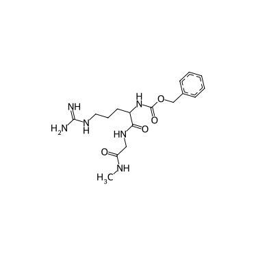 CNC(=O)CNC(=O)C(CCCNC(=N)N)NC(=O)OCc1ccccc1